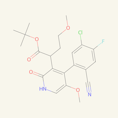 COCCC(C(=O)OC(C)(C)C)c1c(-c2cc(Cl)c(F)cc2C#N)c(OC)c[nH]c1=O